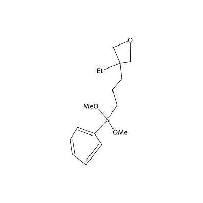 CCC1(CCC[Si](OC)(OC)c2ccccc2)COC1